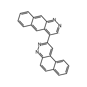 [c]1nnc2cc3ccccc3cc2c1-c1cc2c(ccc3ccccc32)nn1